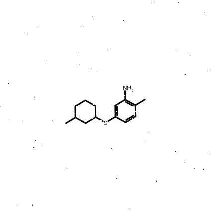 Cc1ccc(OC2CCCC(C)C2)cc1N